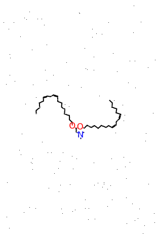 CCCCC/C=C\C/C=C\CCCCCCCCOC(CN(C)C)OCCCCCCCC/C=C\C/C=C\CCCCC